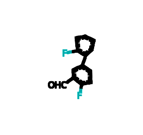 O=Cc1cc(-c2ccccc2F)ccc1F